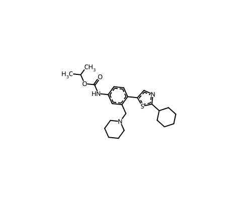 CC(C)OC(=O)Nc1ccc(-c2cnc(C3CCCCC3)s2)c(CN2CCCCC2)c1